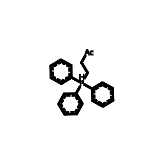 CC(=O)CC[PH](c1ccccc1)(c1ccccc1)c1ccccc1